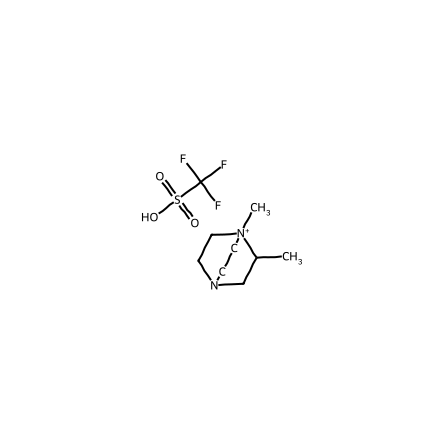 CC1CN2CC[N+]1(C)CC2.O=S(=O)(O)C(F)(F)F